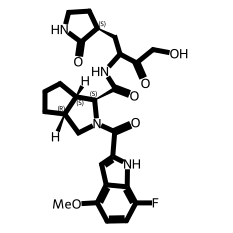 COc1ccc(F)c2[nH]c(C(=O)N3C[C@@H]4CCC[C@@H]4[C@H]3C(=O)NC(C[C@@H]3CCNC3=O)C(=O)CO)cc12